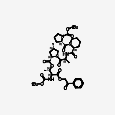 C[C@H]1C[C@@H](C(=O)O[C@@H](C)[C@H](NC(=O)OC(C)(C)C)C(=O)OCC(=O)c2ccccc2)N(C(=O)[C@H](C)NC(=O)[C@@H]2CCCCN2C(=O)[C@@H]2CCCN2C(=O)OC(C)(C)C)C1